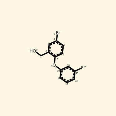 OCc1cc(Br)ccc1Oc1c[c]cc(F)c1